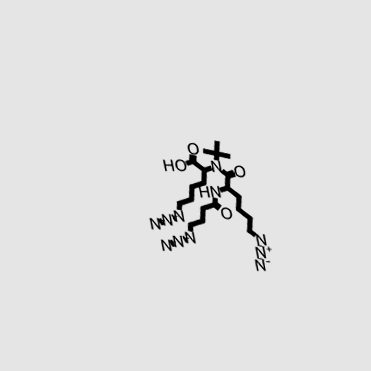 CC(C)(C)N(C(=O)C(CCCCN=[N+]=[N-])NC(=O)CCCN=[N+]=[N-])C(CCCCN=[N+]=[N-])C(=O)O